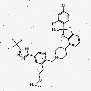 COCCc1cc(-c2nnc(C(F)(F)F)[nH]2)cnc1CN1CCC(c2cccc3c2O[C@](C)(c2ccc(Cl)cc2F)O3)CC1